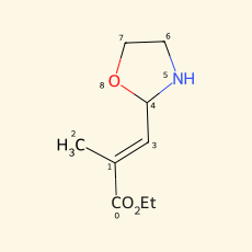 CCOC(=O)C(C)=CC1NCCO1